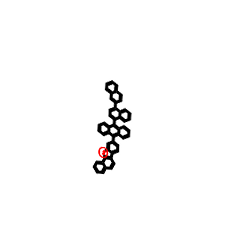 c1ccc2cc(-c3ccc(-c4c5ccccc5c(-c5ccc6c(c5)oc5c7ccccc7ccc65)c5ccccc45)c4ccccc34)ccc2c1